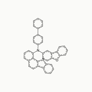 c1ccc(-c2ccc(N(c3ccc4oc5ccccc5c4c3)c3cccc4ccc5c6ccccc6sc5c34)cc2)cc1